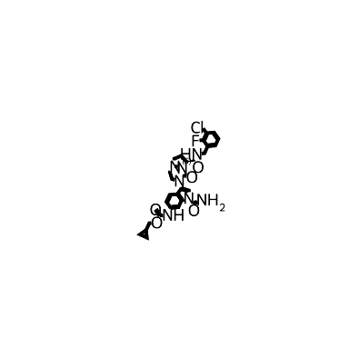 NC(=O)n1cc(N2CCN3CC[C@@H](C(=O)NCc4cccc(Cl)c4F)N3C2=O)c2ccc(NC(=O)OCC3CC3)cc21